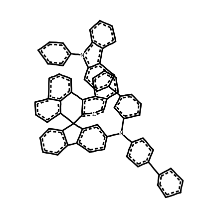 c1ccc(-c2ccc(N(c3cccc(-c4ccc5c(c4)c4ccccc4n5-c4ccccc4)c3)c3ccc4c(c3)C3(c5ccccc5-4)c4ccc5ccccc5c4-c4cccc5cccc3c45)cc2)cc1